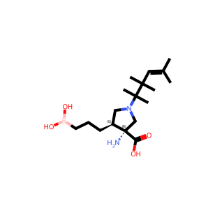 CC(C)=CC(C)(C)C(C)(C)N1C[C@H](CCCB(O)O)[C@](N)(C(=O)O)C1